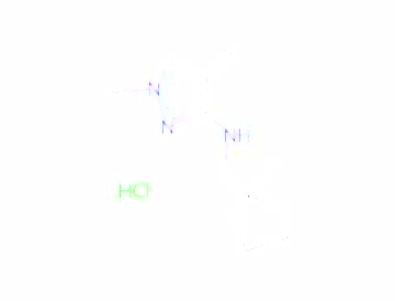 Cc1cn(C)nc1NCC1(C)CCCC1.Cl